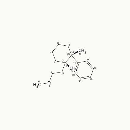 COCC[C@]1(C)CCCC[C@]1(C)c1ccccc1